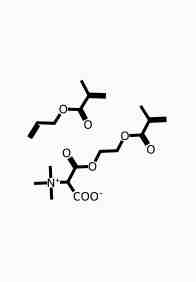 C=C(C)C(=O)OCCOC(=O)C(C(=O)[O-])[N+](C)(C)C.C=CCOC(=O)C(=C)C